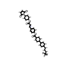 O=C(/C=C/c1ccc(OC(=O)C2CCC(C3CCC(CCCC(F)(F)F)CC3)CC2)cc1)OC1CCC(N2C(=O)C=CC2=O)CC1